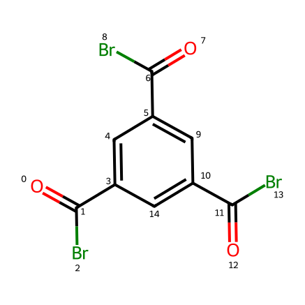 O=C(Br)c1cc(C(=O)Br)cc(C(=O)Br)c1